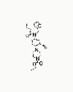 CCC[S+]([O-])N(Cc1ccco1)c1ccc(N2CCN(C(=O)OCC)CC2)c(C#N)c1